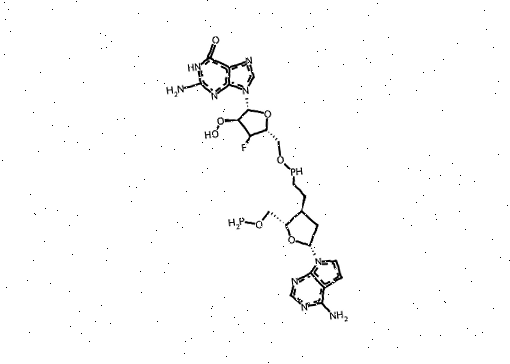 Nc1nc2c(ncn2[C@@H]2O[C@H](COPCC[C@H]3C[C@H](n4ccc5c(N)ncnc54)O[C@@H]3COP)[C@@H](F)[C@H]2OO)c(=O)[nH]1